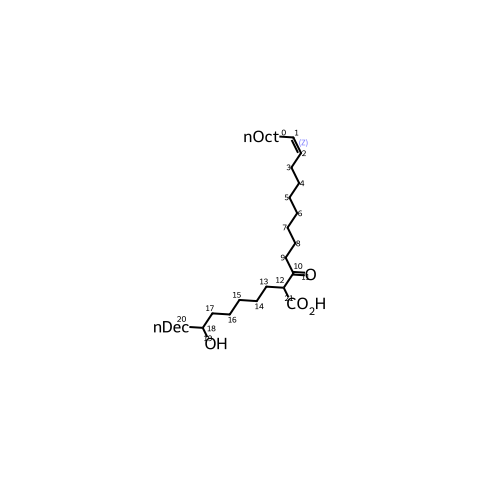 CCCCCCCC/C=C\CCCCCCCC(=O)C(CCCCCC(O)CCCCCCCCCC)C(=O)O